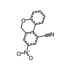 N#Cc1cc([N+](=O)[O-])cc2c1-c1ccccc1OC2